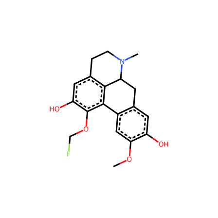 COc1cc2c(cc1O)CC1c3c(cc(O)c(OCF)c3-2)CCN1C